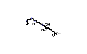 CC/C=C\C/C=C\C=C\[C@@H](O)/C=C/C=C/[C@@H](O)[C@H](O)CCCCCC(=O)O